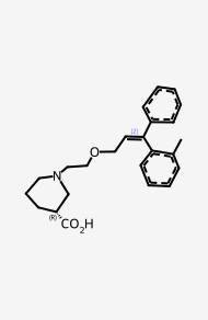 Cc1ccccc1/C(=C\COCCN1CCC[C@@H](C(=O)O)C1)c1ccccc1